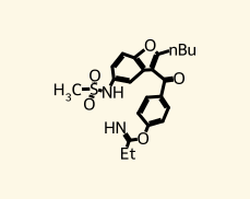 CCCCc1oc2ccc(NS(C)(=O)=O)cc2c1C(=O)c1ccc(OC(=N)CC)cc1